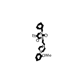 CCc1cn(Cc2ccccc2)c(=O)n(CCCN2CCN(c3ccccc3OC)CC2)c1=O